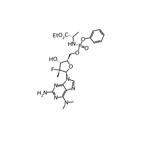 CCOC(=O)[C@H](C)N[P@](=O)(OC[C@H]1O[C@@H](n2cnc3c(N(C)C)nc(N)nc32)[C@](C)(F)[C@@H]1O)Oc1ccccc1